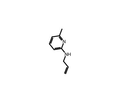 C=CCNc1cccc(C)n1